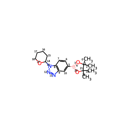 CC1(C)OB(c2ccc3c(c2)nnn3C2CCCCO2)OC1(C)C